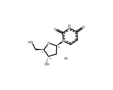 I.O=c1ccn([C@H]2C[C@H](O)[C@@H](CO)O2)c(=O)[nH]1